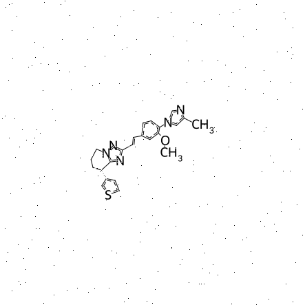 COc1cc(/C=C/c2nc3n(n2)CCC[C@H]3c2ccsc2)ccc1-n1cnc(C)c1